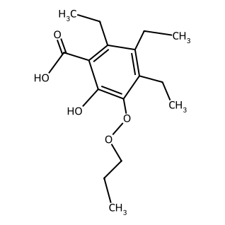 CCCOOc1c(O)c(C(=O)O)c(CC)c(CC)c1CC